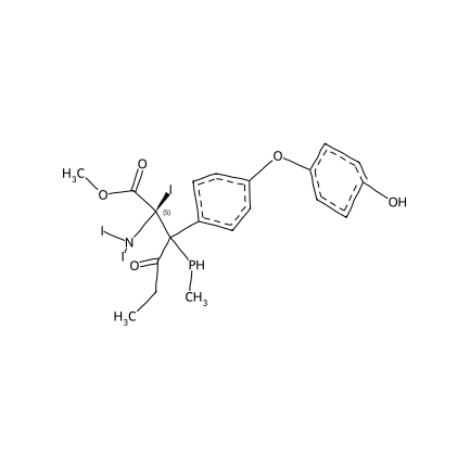 CCC(=O)C(PC)(c1ccc(Oc2ccc(O)cc2)cc1)[C@@](I)(C(=O)OC)N(I)I